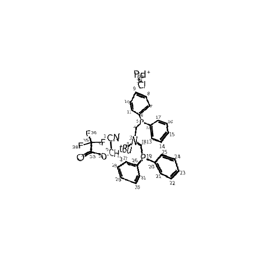 CC#N.CC(C)(C)N(CP(c1ccccc1)c1ccccc1)CP(c1ccccc1)c1ccccc1.O=C([O-])C(F)(F)F.[Cl][Pd+]